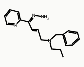 CCCN(C/C=C/C(=NN)c1ccccn1)Cc1ccccc1